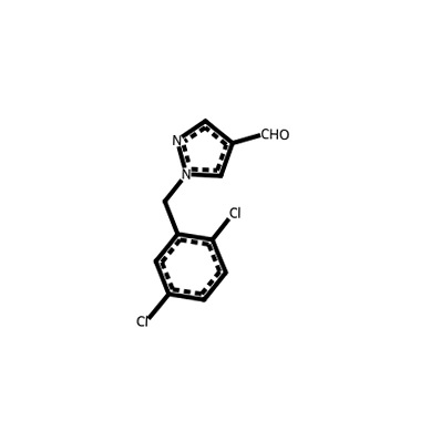 O=Cc1cnn(Cc2cc(Cl)ccc2Cl)c1